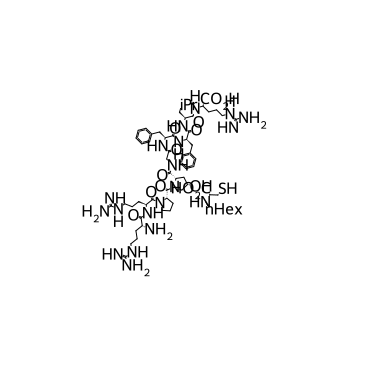 CC(C)C[C@H](NC(=O)[C@@H](Cc1ccccc1)NC(=O)[C@H](Cc1ccccc1)NC(=O)CNC(=O)[C@@H]1C[C@H](O)CN1C(=O)[C@@H]1CCCN1C(=O)[C@H](CCCNC(=N)N)NC(=O)[C@H](N)CCCNC(=N)N)C(=O)NC(CCCNC(=N)N)C(=O)O.CCCCCCNC(CS)C(=O)O